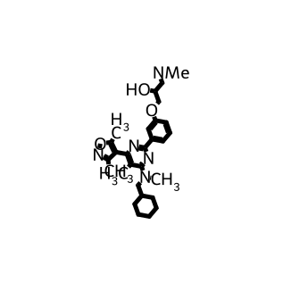 CNCC(O)COc1cccc(-c2nc(-c3c(C)noc3C)c(C)c(N(C)CC3CCCCC3)n2)c1